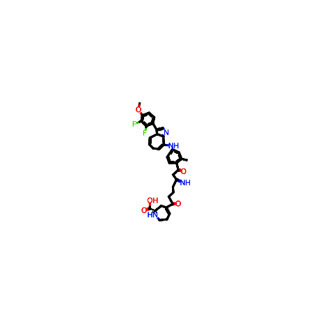 COc1ccc(C2=CN=C3C(Nc4ccc(C(=O)CC(=N)CCCC(=O)C5=CCCN[C@@H](C(=O)O)C5)c(C)c4)=CCC=CC23)c(F)c1F